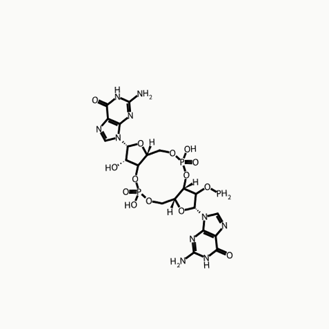 Nc1nc2c(ncn2[C@@H]2O[C@@H]3COP(=O)(O)OC4[C@@H](COP(=O)(O)O[C@@H]3C2OP)O[C@@H](n2cnc3c(=O)[nH]c(N)nc32)[C@H]4O)c(=O)[nH]1